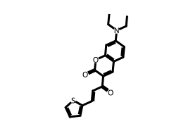 CCN(CC)c1ccc2cc(C(=O)C=Cc3cccs3)c(=O)oc2c1